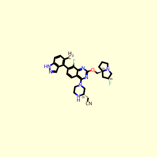 Cc1ccc2[nH]ncc2c1-c1ccc2c(N3CCN[C@@H](CC#N)C3)nc(OC[C@@]34CCCN3C[C@H](F)C4)nc2c1F